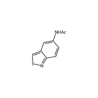 CC(=O)Nc1ccc2nscc2c1